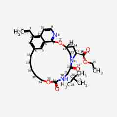 C=Cc1cc2cc3c(nccc13)O[C@@H]1C[C@@H](C(=O)OCC)N(C1)C(=O)[C@H](C(C)(C)C)NC(=O)OCCCCC2